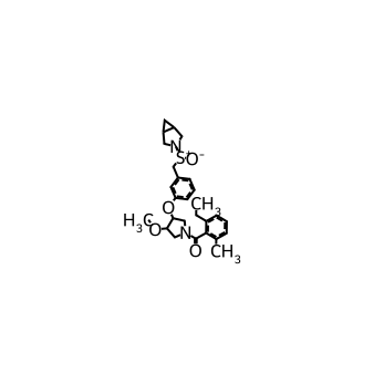 CCc1cccc(C)c1C(=O)N1CC(OC)C(Oc2cccc(C[S+]([O-])N3CC4CC4C3)c2)C1